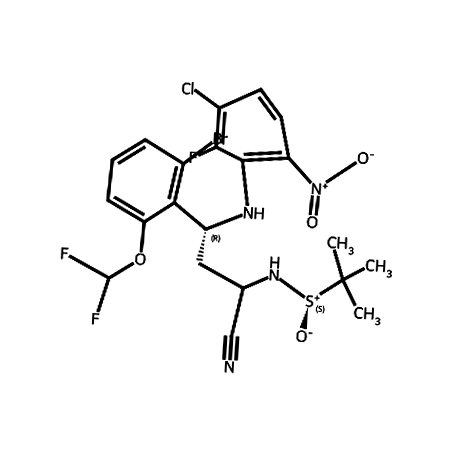 CC(C)(C)[S@@+]([O-])NC(C#N)C[C@@H](Nc1c([N+](=O)[O-])ccc(Cl)c1F)c1c(Br)cccc1OC(F)F